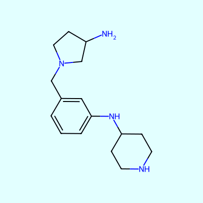 NC1CCN(Cc2cccc(NC3CCNCC3)c2)C1